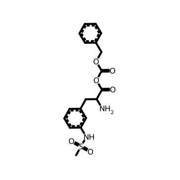 CS(=O)(=O)Nc1cccc(CC(N)C(=O)OC(=O)OCc2ccccc2)c1